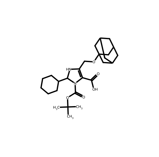 CC(C)(C)OC(=O)N1C(C(=O)O)=C(COC23CC4CC(CC(C4)C2)C3)NC1C1CCCCC1